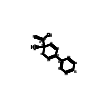 NC1([N+](=O)[O-])C=CC(c2ccccc2)=CC1